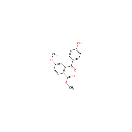 COC(=O)c1ccc(OC)cc1C(=O)c1ccc(O)cc1